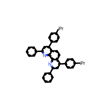 CC(C)c1ccc(-c2cc(-c3ccccc3)nc3c2ccc2c(-c4ccc(C(C)C)cc4)cc(-c4ccccc4)nc23)cc1